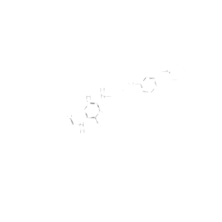 CC(=O)Nc1c[nH]c(NCCCOc2cccc(CN3CCCCC3)c2)nc1=O